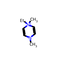 CC[N+]1(C)C=CN(C)C=C1